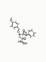 COc1ccc(CO[C@H](CC(=O)NO)C(=O)Nc2ccccc2)cc1